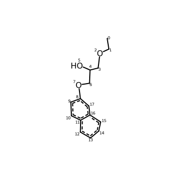 CCOCC(O)COc1ccc2ccccc2c1